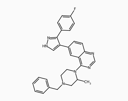 CC1CN(Cc2ccccc2)CCN1c1ncnc2ccc(-c3c[nH]nc3-c3ccc(F)cc3)cc12